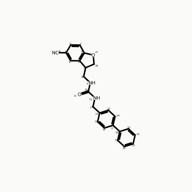 N#Cc1ccc2c(c1)C(CNC(=O)NCc1ccc(-c3ccccc3)cc1)CO2